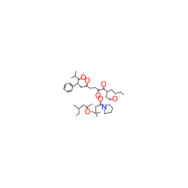 CCCCC(CC(=O)[C@@H]1CCCN1C(=O)[C@@H](CC(=O)CC(C)CC)C(C)(C)C)C(=O)C(=O)CCC(=O)C[C@H](C(=O)C(C)C)c1ccccc1